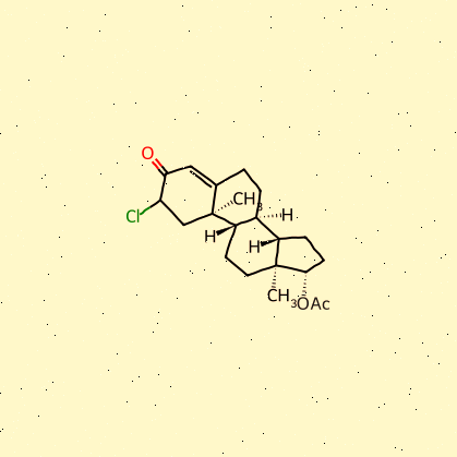 CC(=O)O[C@H]1CC[C@H]2[C@@H]3CCC4=CC(=O)C(Cl)C[C@]4(C)[C@H]3CC[C@]12C